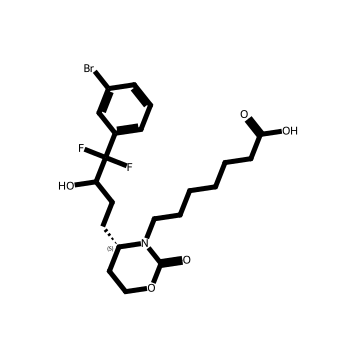 O=C(O)CCCCCCN1C(=O)OCC[C@@H]1CCC(O)C(F)(F)c1cccc(Br)c1